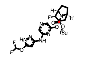 CC(C)(C)OC(=O)N1[C@H]2CC[C@@H]1[C@H](F)[C@@H](Oc1cncc(Nc3cc(OC(F)F)[nH]n3)n1)C2